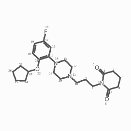 O=C1CCCC(=O)N1CCCN1CCN(c2cc(F)ccc2OC2CCCC2)CC1